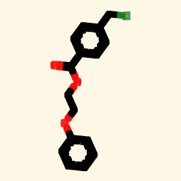 O=C(OCCOc1ccccc1)c1ccc(CCl)cc1